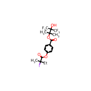 CCC(C)(I)C(=O)Oc1ccc(C(=O)OC(C)(C)C(O)(C(F)(F)F)C(F)(F)F)cc1